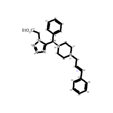 CCOC(=O)Cn1nnnc1[C@@H](c1ccccc1)N1CCN(C/C=C/c2ccccc2)CC1